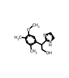 COc1cc(C(CO)c2ncc[nH]2)c(C)cc1C